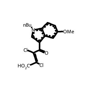 CCCCn1cc(C(=O)C(Cl)=C(Cl)C(=O)O)c2cc(OC)ccc21